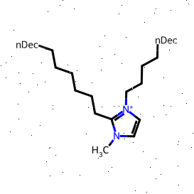 CCCCCCCCCCCCCCCCc1n(C)cc[n+]1CCCCCCCCCCCCCC